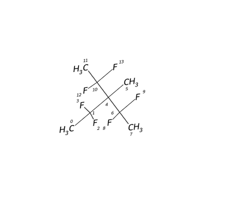 CC(F)(F)C(C)(C(C)(F)F)C(C)(F)F